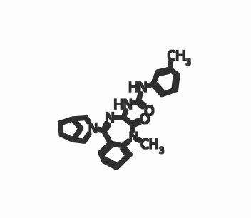 Cc1cccc(NC(=O)NC2N=C(N3CC4CCC(C4)C3)c3ccccc3N(C)C2=O)c1